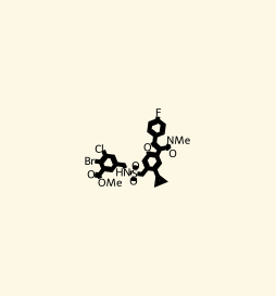 CNC(=O)c1c(-c2ccc(F)cc2)oc2cc(CS(=O)(=O)NCc3cc(Cl)c(Br)c(C(=O)OC)c3)c(C3CC3)cc12